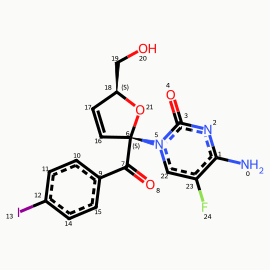 Nc1nc(=O)n([C@@]2(C(=O)c3ccc(I)cc3)C=C[C@@H](CO)O2)cc1F